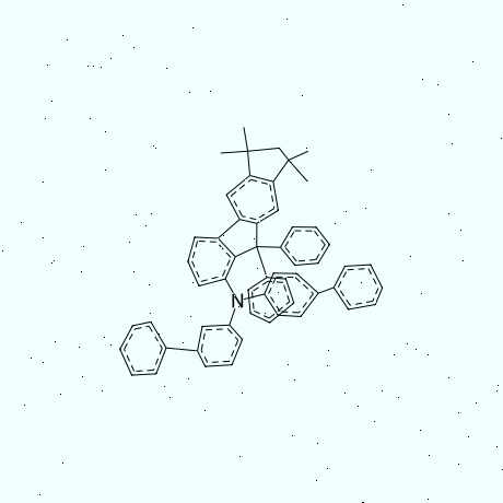 CC1(C)CC(C)(C)c2cc3c(cc21)-c1cccc(N(c2ccc(-c4ccccc4)cc2)c2cccc(-c4ccccc4)c2)c1C3(c1ccccc1)c1ccccc1